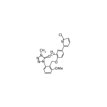 COc1cccc(-n2nnn(C)c2=O)c1COc1ccc(-c2cccc(Cl)n2)cc1C